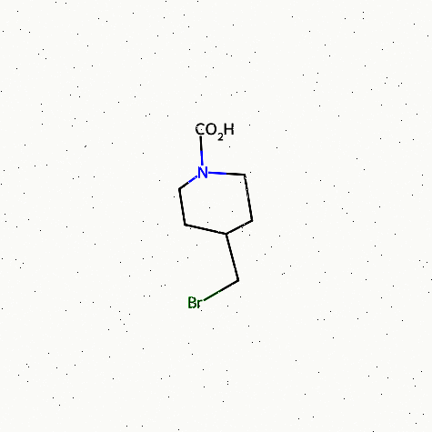 O=C(O)N1CCC(CBr)CC1